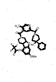 COc1ccc2c(c1)OC1CN(C(=O)c3cc(C(=O)N4CCC(C#N)(c5ccccc5)CC4)ncc3C)CCC21.O=C(O)C(F)(F)F